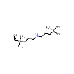 C=C[Si](C)(C)CCCNCCC[Si](C)(C)C(C)(C)C